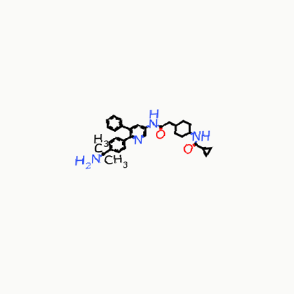 CC(C)(N)c1ccc(-c2ncc(NC(=O)CC3CCC(NC(=O)C4CC4)CC3)cc2-c2ccccc2)cc1